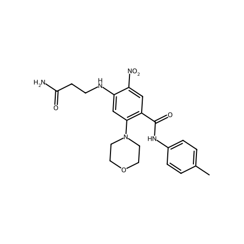 Cc1ccc(NC(=O)c2cc([N+](=O)[O-])c(NCCC(N)=O)cc2N2CCOCC2)cc1